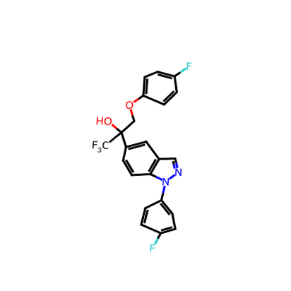 OC(COc1ccc(F)cc1)(c1ccc2c(cnn2-c2ccc(F)cc2)c1)C(F)(F)F